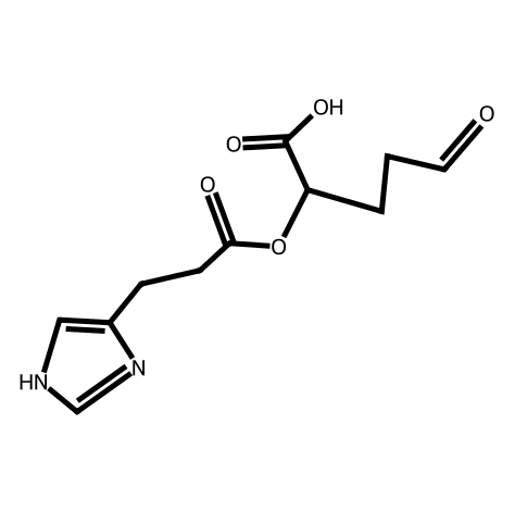 O=CCCC(OC(=O)CCc1c[nH]cn1)C(=O)O